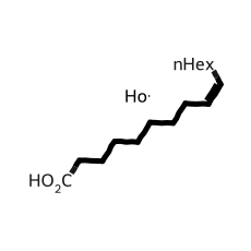 CCCCCC/C=C\CCCCCCCC(=O)O.[Ho]